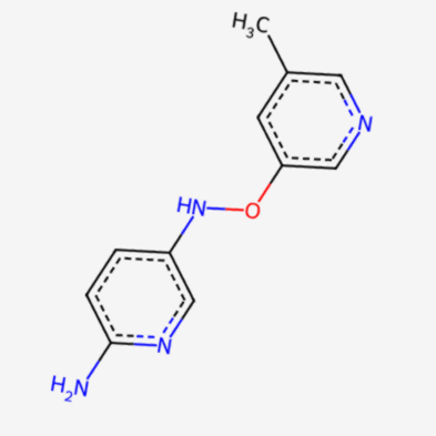 Cc1cncc(ONc2ccc(N)nc2)c1